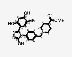 COC(=O)C1CCN(Cc2ccc(-n3c(O)nnc3-c3cc(C(C)C)c(O)cc3O)cc2)CC1